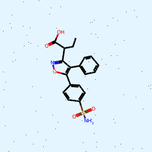 CCC(C(=O)O)c1noc(-c2ccc(S(N)(=O)=O)cc2)c1-c1ccccc1